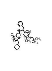 CC[C@H](C[C@H](O)[C@H](Cc1ccccc1)NC(=O)CC(NC(=O)CC1CCCCC1)C(=O)O)C(=O)NCC(C)C